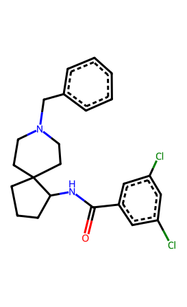 O=C(NC1CCCC12CCN(Cc1ccccc1)CC2)c1cc(Cl)cc(Cl)c1